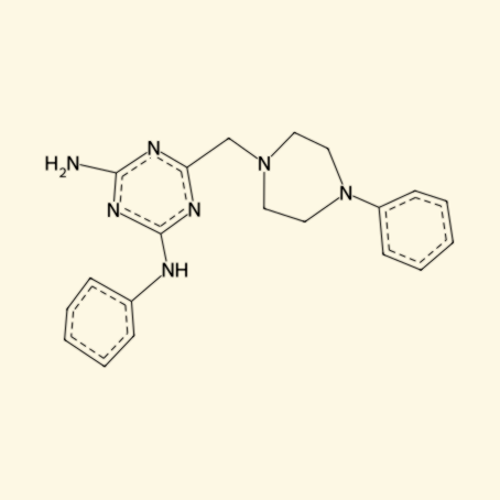 Nc1nc(CN2CCN(c3ccccc3)CC2)nc(Nc2ccccc2)n1